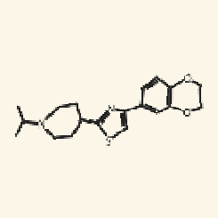 CC(C)N1CCC(c2nc(-c3ccc4c(c3)OCCO4)cs2)CC1